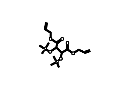 C=CCOC(=O)C(O[Si](C)(C)C)C(O[Si](C)(C)C)C(=O)OCC=C